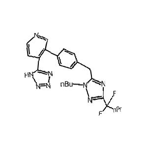 CCCCn1nc(C(F)(F)CCC)nc1Cc1ccc(-c2cnccc2-c2nnn[nH]2)cc1